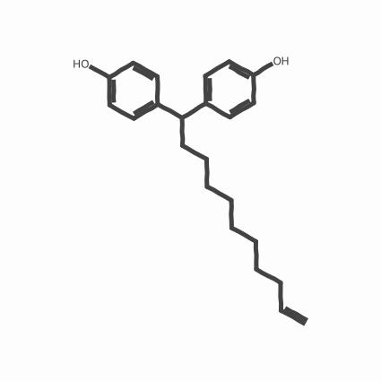 C=CCCCCCCCCC(c1ccc(O)cc1)c1ccc(O)cc1